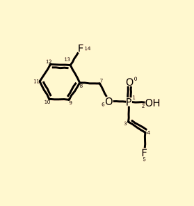 O=P(O)(C=CF)OCc1ccccc1F